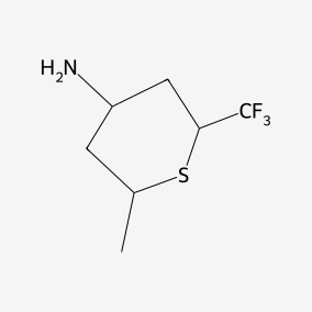 CC1CC(N)CC(C(F)(F)F)S1